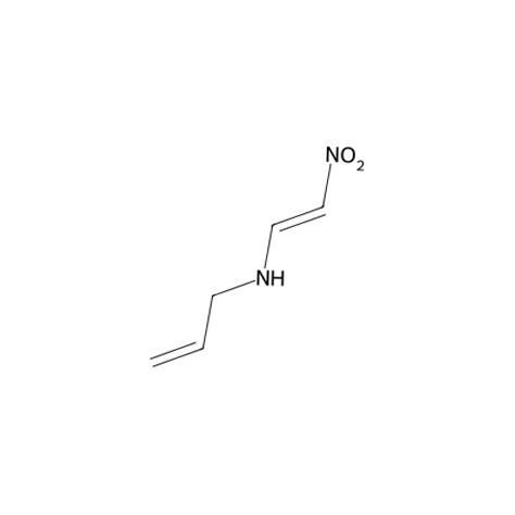 C=CCNC=C[N+](=O)[O-]